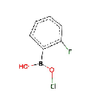 OB(OCl)c1ccccc1F